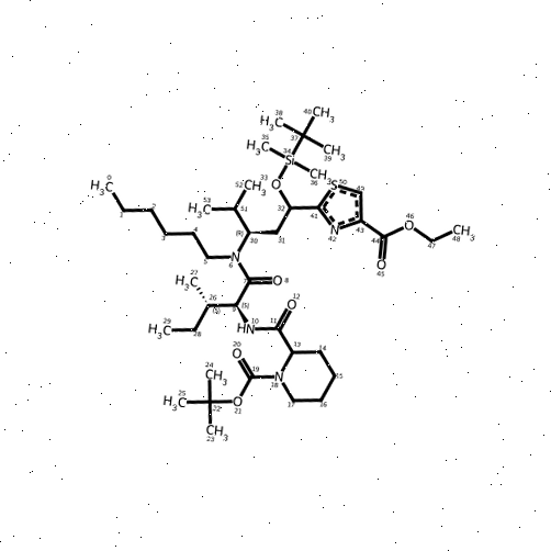 CCCCCCN(C(=O)[C@@H](NC(=O)C1CCCCN1C(=O)OC(C)(C)C)[C@@H](C)CC)[C@H](CC(O[Si](C)(C)C(C)(C)C)c1nc(C(=O)OCC)cs1)C(C)C